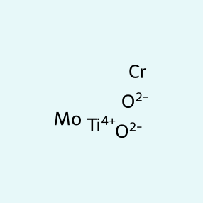 [Cr].[Mo].[O-2].[O-2].[Ti+4]